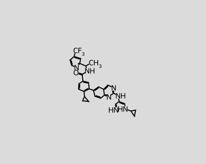 CC(NC(=O)c1ccc(C2CC2)c(-c2ccc3nc(N/C(C=N)=C/NC4CC4)ncc3c2)c1)c1cc(C(F)(F)F)ccn1